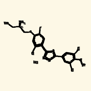 CC(C)Oc1c(Cl)cc(-c2nnc(-c3cc(F)c(OC[C@H](N)CO)cc3Cl)s2)cc1Cl.Cl